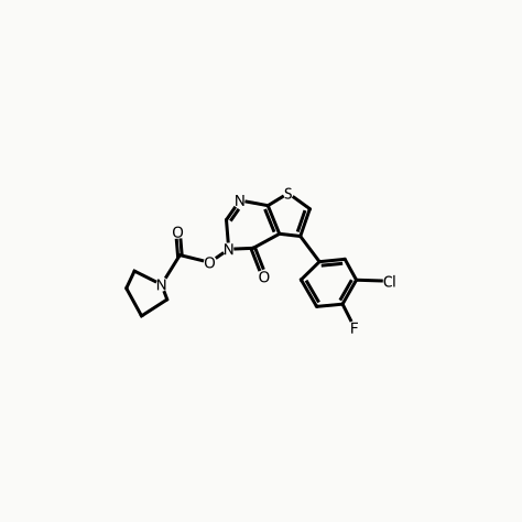 O=C(On1cnc2scc(-c3ccc(F)c(Cl)c3)c2c1=O)N1CCCC1